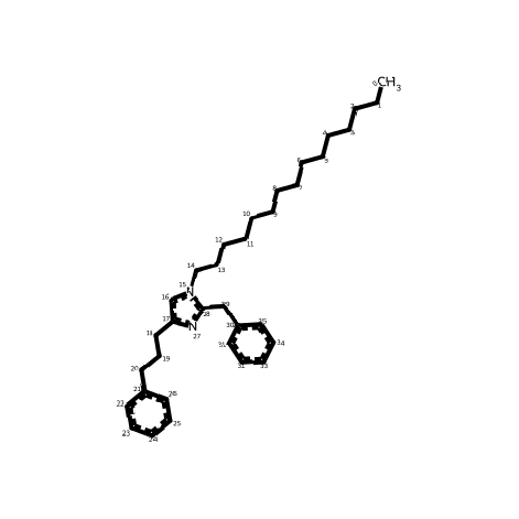 CCCCCCCCCCCCCCCn1cc(CCCc2ccccc2)nc1Cc1ccccc1